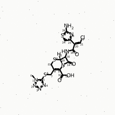 Cn1nnnc1SCC1=C(C(=O)O)N2C(=O)C(NC(=O)/C(=C/Cl)c3csc(N)n3)[C@H]2SC1